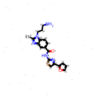 CCc1nc2cc(C(=O)Nc3nc(-c4ccco4)cs3)ccc2n1CCCN